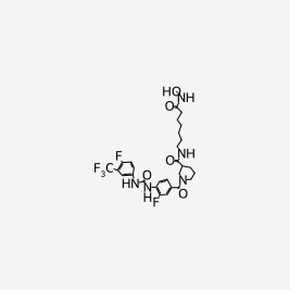 O=C(CCCCCCNC(=O)C1CCCN(C(=O)c2ccc(NC(=O)Nc3ccc(F)c(C(F)(F)F)c3)c(F)c2)C1)NO